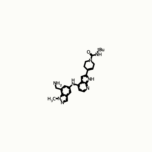 Cn1ncc2cc(Nc3ccnc4[nH]c(C5=CCN(C(=O)NC(C)(C)C)CC5)cc34)cc(CN)c21